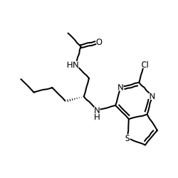 CCCC[C@H](CNC(C)=O)Nc1nc(Cl)nc2ccsc12